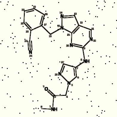 CNC(=O)Cn1cc(Nc2ncc3cnn(Cc4ccccc4C#N)c3n2)cn1